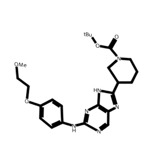 COCCOc1ccc(Nc2ncc3nc(C4CCCN(C(=O)OC(C)(C)C)C4)[nH]c3n2)cc1